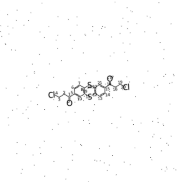 O=C(CCCl)c1ccc2c(c1)Sc1ccc(C(=O)CCCl)cc1S2